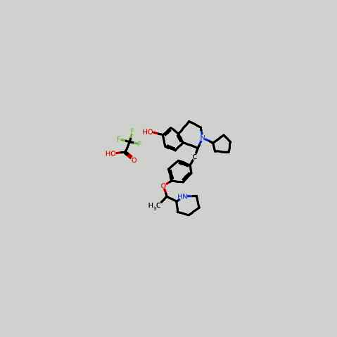 CC(Oc1ccc(CC2c3ccc(O)cc3CCN2C2CCCC2)cc1)C1CCCCN1.O=C(O)C(F)(F)F